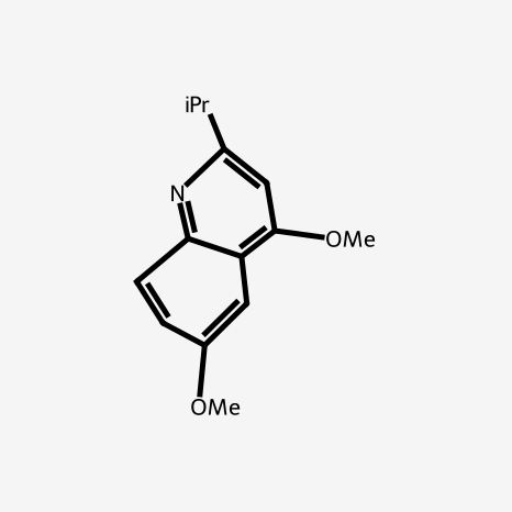 COc1ccc2nc(C(C)C)cc(OC)c2c1